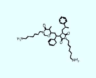 CC(CC1C(=O)N(CCCCCCN)C(=O)C1C(CC1OCN(CCCCCCN)C(=O)C1C)C1C=CC=CC1)c1ccccc1